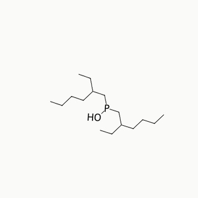 CCCCC(CC)CP(O)CC(CC)CCCC